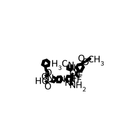 CCOC(=O)c1ccc(C(Oc2cc(N3CCC4(CC3)C[C@@H](C(=O)O)N(C(=O)OCc3ccccc3)C4)nc(N)n2)C(F)(F)F)c(-n2ccc(C)n2)c1